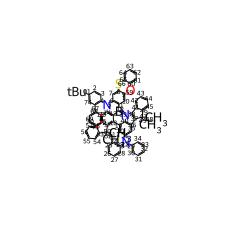 CC(C)(C)c1ccc(N2c3cc4c(cc3B3c5c2cc2c(c5-c5cc(N(c6ccccc6)c6ccccc6)cc6c7c(n3c56)-c3ccccc3C7(C)C)C(C)(C)c3ccccc3-2)Oc2ccccc2S4)c(-c2ccccc2)c1